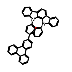 c1ccc(-n2c3ccccc3c3ccc4c5ccccc5n(-c5ccc(-c6ccc7c8ccccc8c8ccccc8c7c6)cc5)c4c32)cc1